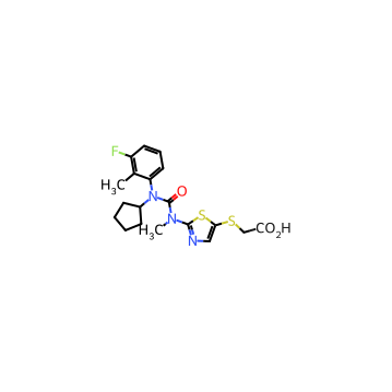 Cc1c(F)cccc1N(C(=O)N(C)c1ncc(SCC(=O)O)s1)C1CCCC1